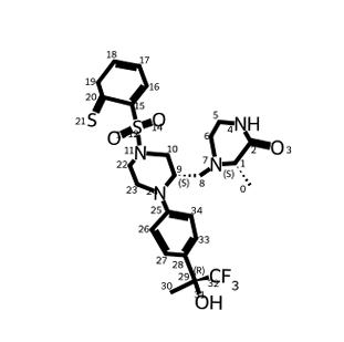 C[C@H]1C(=O)NCCN1C[C@H]1CN(S(=O)(=O)C2=CC=CCC2=S)CCN1c1ccc([C@@](C)(O)C(F)(F)F)cc1